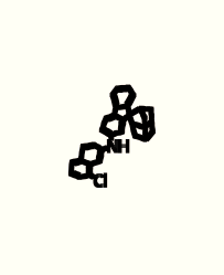 Clc1cccc2ccc(Nc3ccc4c(c3)C3(c5ccccc5-4)C4CC5CC(C4)CC3C5)cc12